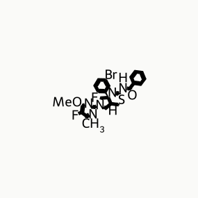 COc1nc(N2C[C@H]3CSC(NC(=O)c4ccccc4)=N[C@@]3(c3cc(Br)ccc3F)C2)nc(C)c1F